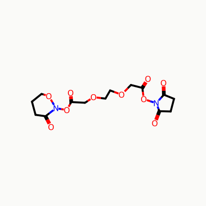 O=C(COCCOCC(=O)ON1C(=O)CCC1=O)ON1OCCCC1=O